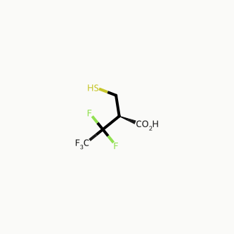 O=C(O)[C@H](CS)C(F)(F)C(F)(F)F